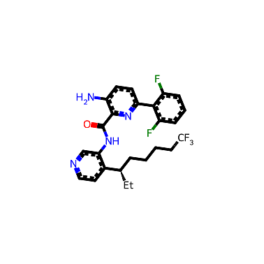 CC[C@H](CCCCC(F)(F)F)c1ccncc1NC(=O)c1nc(-c2c(F)cccc2F)ccc1N